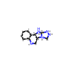 c1ccc2c(c1)ncc1c2[nH]c2nncn21